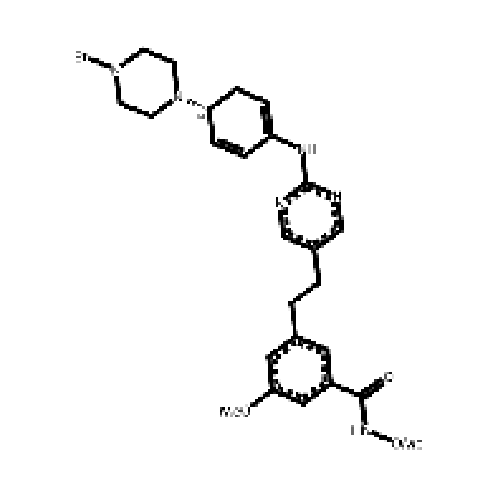 CCN1CCN([C@H]2C=CC(Nc3ncc(CCc4cc(OC)cc(C(=O)NOC)c4)cn3)=CC2)CC1